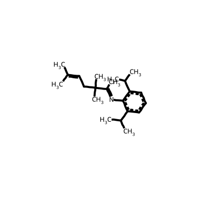 CC(C)=CCC(C)(C)C(C)=Nc1c(C(C)C)cccc1C(C)C